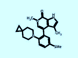 CSc1ccc(N2CCC3(CC2)CC3)c(-c2cn(C)c(=O)c3[nH]cc(C)c23)c1